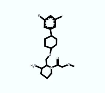 COCC(=O)N1CCCC(N)C1COC1CCC(c2cc(F)cc(F)c2)CC1